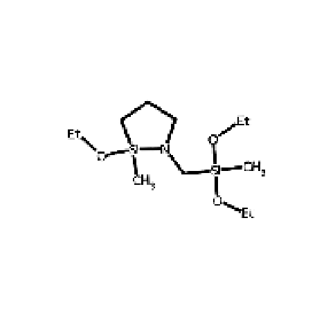 CCO[Si](C)(CN1CCC[Si]1(C)OCC)OCC